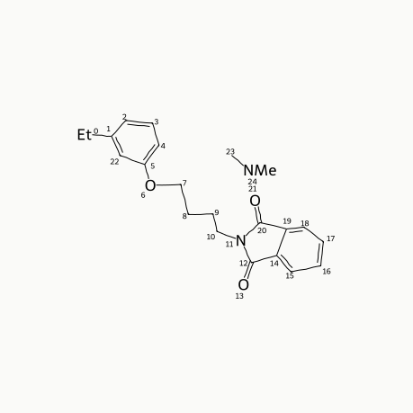 CCc1cccc(OCCCCN2C(=O)c3ccccc3C2=O)c1.CNC